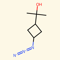 CC(C)(O)C1CC(N=[N+]=[N-])C1